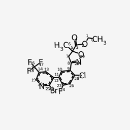 CCOC(=O)C1(C)CC(c2cc(-c3cc(C(F)(F)F)cnc3Br)c(F)cc2Cl)=NO1